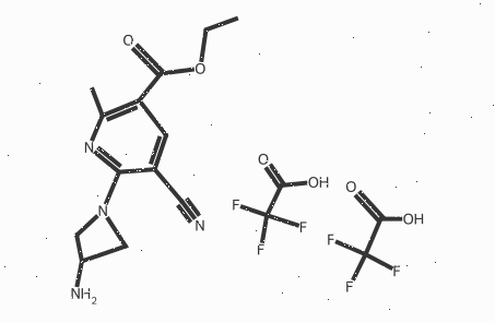 CCOC(=O)c1cc(C#N)c(N2CC(N)C2)nc1C.O=C(O)C(F)(F)F.O=C(O)C(F)(F)F